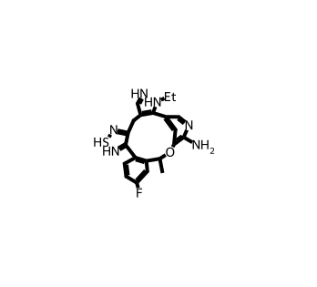 CCN/C1=C(\C=N)C/C(=N/S)C(=N)c2ccc(F)cc2C(C)Oc2cc1cnc2N